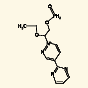 CCOC(CO[PH2]=O)[n+]1ccc(-c2ncccn2)cn1